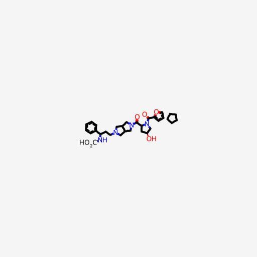 C1CCCC1.O=C(O)NC(CCN1CC2CN(C(=O)C3C[C@H](O)CN3C(=O)c3ccco3)CC2C1)c1ccccc1